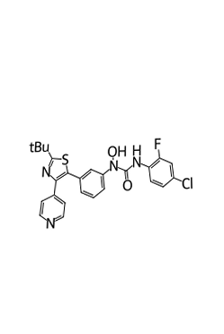 CC(C)(C)c1nc(-c2ccncc2)c(-c2cccc(N(O)C(=O)Nc3ccc(Cl)cc3F)c2)s1